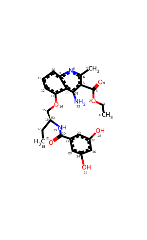 CCOC(=O)c1c(C)nc2cccc(OC[C@H](CC)NC(=O)c3cc(O)cc(O)c3)c2c1N